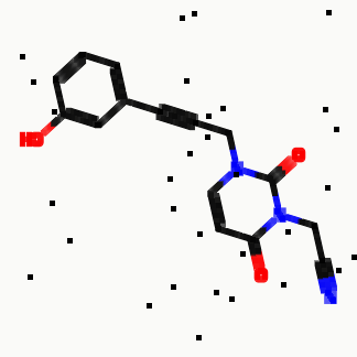 N#CCn1c(=O)ccn(CC#Cc2cccc(O)c2)c1=O